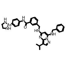 CC(C)c1cnn2c(NCc3ccccc3)cc(NCc3cccc(C(=O)Nc4ccc([As]5NCCN5)cc4)c3)nc12